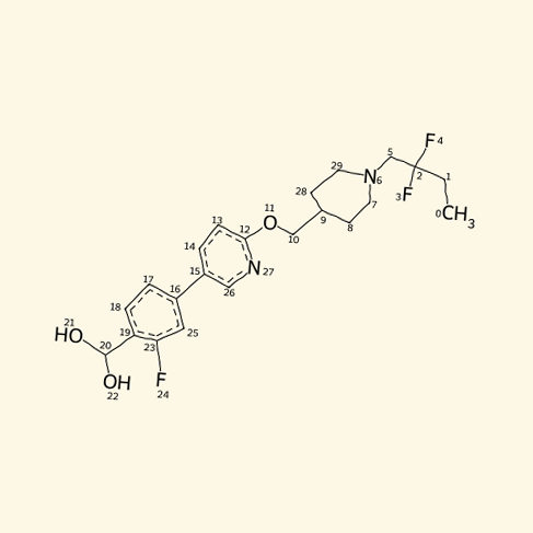 CCC(F)(F)CN1CCC(COc2ccc(-c3ccc(C(O)O)c(F)c3)cn2)CC1